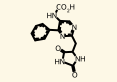 O=C(O)Nc1cnc(CC2NC(=O)NC2=O)nc1-c1ccccc1